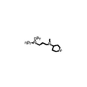 CCCN(CCC)CCCN(C)C1CC[N]CC1